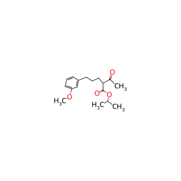 COc1cccc(CCCC(C(C)=O)C(=O)OC(C)C)c1